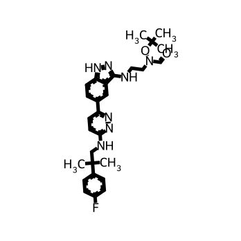 CC(C)(C)ON(C=O)CCNc1n[nH]c2ccc(-c3ccc(NCC(C)(C)c4ccc(F)cc4)nn3)cc12